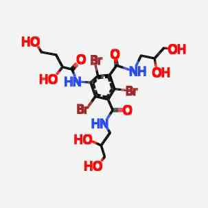 O=C(NCC(O)CO)c1c(Br)c(NC(=O)C(O)CCO)c(Br)c(C(=O)NCC(O)CO)c1Br